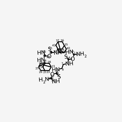 N=C(N)OC(=S)NCCNC(=S)OC(=N)N.N=C(NC12CC3CC(CC(C3)C1)C2)OC(=S)NC12CC3CC(CC(C3)C1)C2